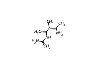 C=C(N)NC(=C)/C(C)=C(/C)N